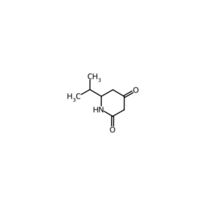 CC(C)C1CC(=O)CC(=O)N1